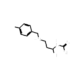 CCc1ccc(CNCCC(NC(=N)N)C(F)(F)F)cc1